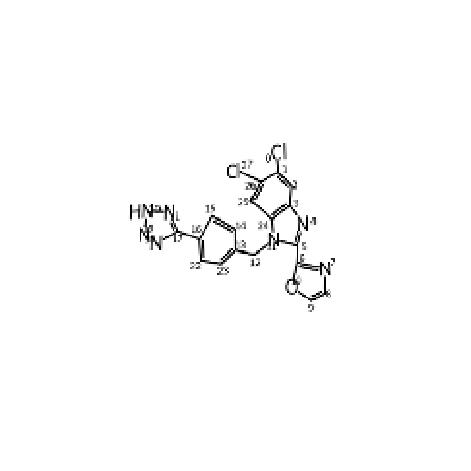 Clc1cc2nc(-c3ncco3)n(Cc3ccc(-c4nn[nH]n4)cc3)c2cc1Cl